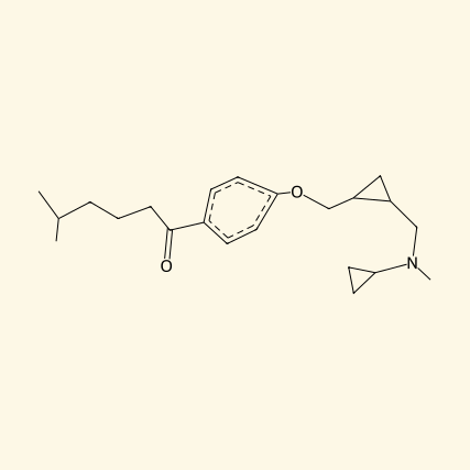 CC(C)CCCC(=O)c1ccc(OCC2CC2CN(C)C2CC2)cc1